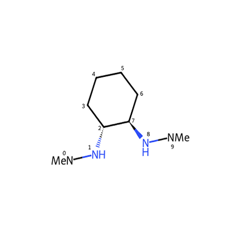 CNN[C@@H]1CCCC[C@H]1NNC